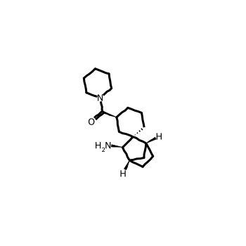 N[C@@H]1[C@H]2CC[C@H](C2)[C@@]12CCC[C@H](C(=O)N1CCCCC1)C2